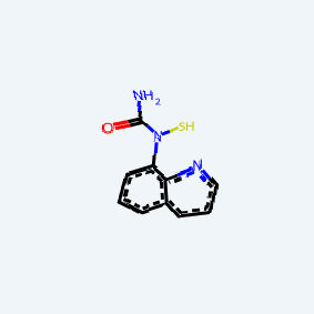 NC(=O)N(S)c1cccc2cccnc12